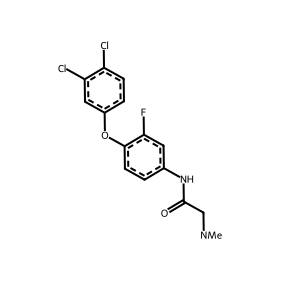 CNCC(=O)Nc1ccc(Oc2ccc(Cl)c(Cl)c2)c(F)c1